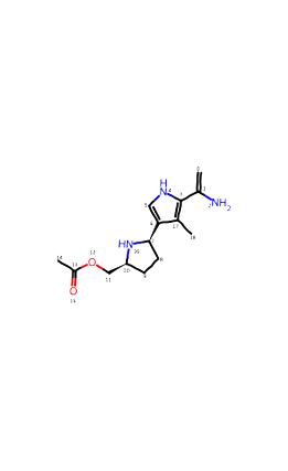 C=C(N)c1[nH]cc([C@H]2CC[C@@H](COC(C)=O)N2)c1C